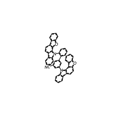 N#Cc1cc(-c2ccccc2-n2c3ccccc3c3ccc4c5ccccc5oc4c32)cc(-n2c3ccccc3c3ccc4oc5ccccc5c4c32)c1